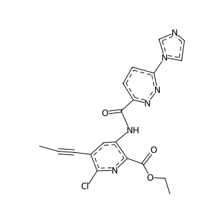 CC#Cc1cc(NC(=O)c2ccc(-n3ccnc3)nn2)c(C(=O)OCC)nc1Cl